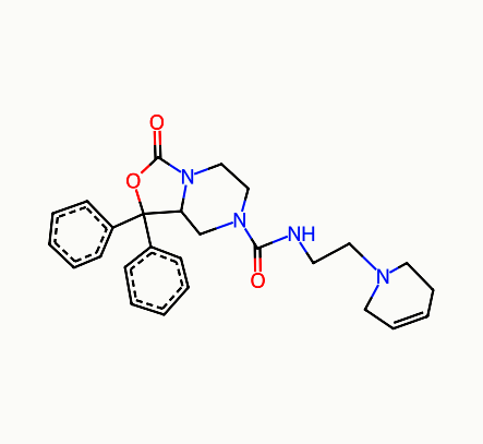 O=C(NCCN1CC=CCC1)N1CCN2C(=O)OC(c3ccccc3)(c3ccccc3)C2C1